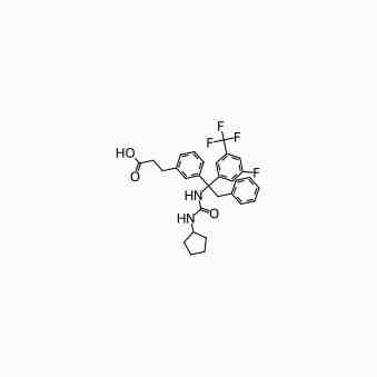 O=C(O)CCc1cccc(C(Cc2ccccc2)(NC(=O)NC2CCCC2)c2cc(F)cc(C(F)(F)F)c2)c1